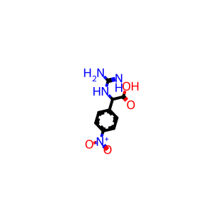 N=C(N)NC(C(=O)O)c1ccc([N+](=O)[O-])cc1